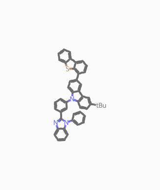 CC(C)(C)c1ccc2c(c1)c1cc(-c3cccc4c3sc3ccccc34)ccc1n2-c1cccc(-c2nc3ccccc3n2-c2ccccc2)c1